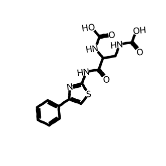 O=C(O)NCC(NC(=O)O)C(=O)Nc1nc(-c2ccccc2)cs1